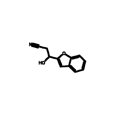 N#CCC(O)c1cc2ccccc2o1